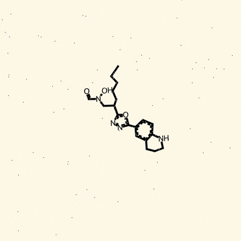 CCCCCC(CN(O)C=O)c1nnc(-c2ccc3c(c2)CCCN3)o1